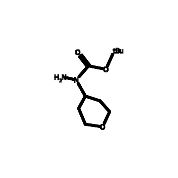 CC(C)(C)OC(=O)N(N)C1CCOCC1